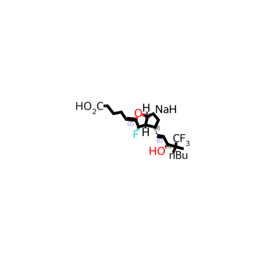 CCCCC(C)([C@H](O)/C=C/[C@H]1CC[C@@H]2O/C(=C\CCCC(=O)O)C(F)[C@@H]21)C(F)(F)F.[NaH]